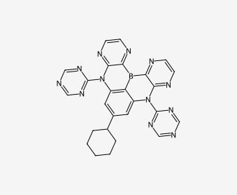 c1ncnc(N2c3cc(C4CCCCC4)cc4c3B(c3nccnc32)c2nccnc2N4c2ncncn2)n1